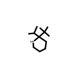 CC(C)C1(C(C)(C)C)CCCCN1